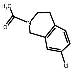 CC(=O)N1CCc2ccc(Cl)cc2C1